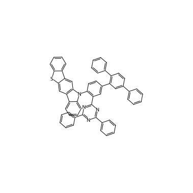 c1ccc(-c2ccc(-c3ccccc3)c(-c3ccc(-n4c5ccccc5c5cc6sc7ccccc7c6cc54)c(-c4nc(-c5ccccc5)nc(-c5ccccc5)n4)c3)c2)cc1